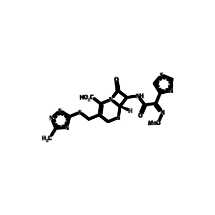 CO/N=C(\C(=O)NC1C(=O)N2C(C(=O)O)=C(CSc3nc(C)ns3)CS[C@@H]12)c1cscn1